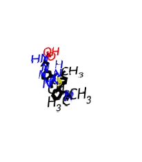 Cc1nc(NC(C)c2ccc(-c3ccccc3CN(C)C)s2)c2cc(N3CC(NC(=O)O)C3)ncc2n1